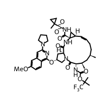 COc1ccc2c(O[C@@H]3C[C@H]4C(=O)N[C@]5(C(=O)NS(=O)(=O)C6(C)CC6)C[C@H]5/C=C\CC[C@@H](C)C[C@@H](C)[C@H](NC(=O)OC(C)(C)C(F)(F)F)C(=O)N4C3)nc(N3CCCC3)cc2c1